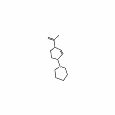 C=C(C)C1C=CC(N2CCCCC2)CC1